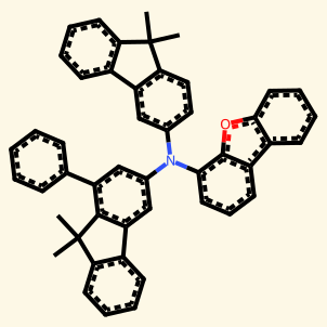 CC1(C)c2ccccc2-c2cc(N(c3cc(-c4ccccc4)c4c(c3)-c3ccccc3C4(C)C)c3cccc4c3oc3ccccc34)ccc21